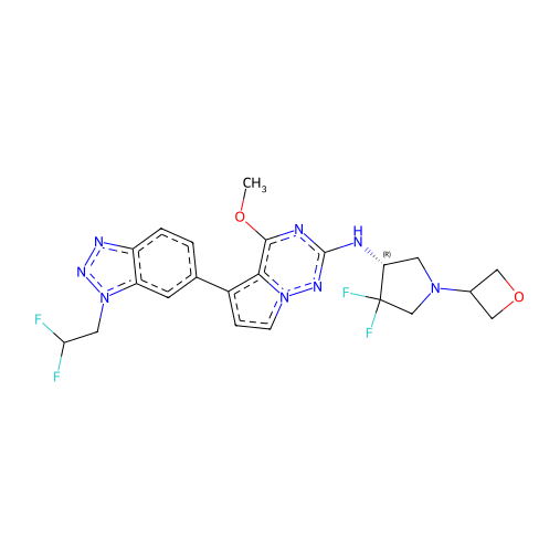 COc1nc(N[C@@H]2CN(C3COC3)CC2(F)F)nn2ccc(-c3ccc4nnn(CC(F)F)c4c3)c12